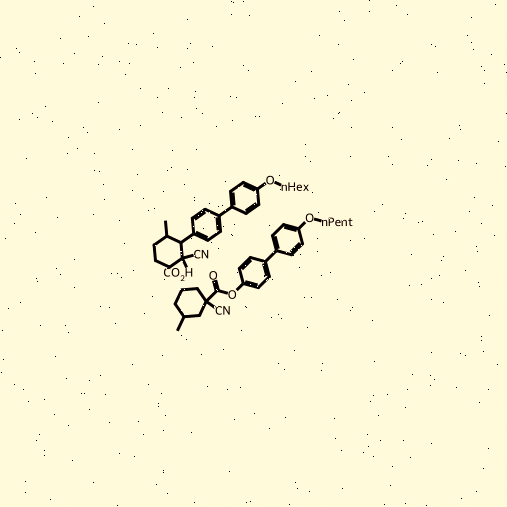 CCCCCCOc1ccc(-c2ccc(C3C(C)CCCC3(C#N)C(=O)O)cc2)cc1.CCCCCOc1ccc(-c2ccc(OC(=O)C3(C#N)CCCC(C)C3)cc2)cc1